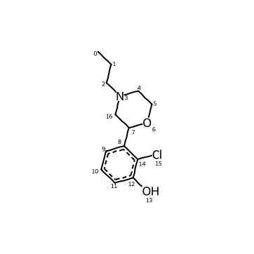 CCCN1CCOC(c2cccc(O)c2Cl)C1